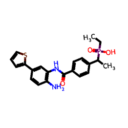 CCP(=O)(O)C(C)c1ccc(C(=O)Nc2cc(-c3cccs3)ccc2N)cc1